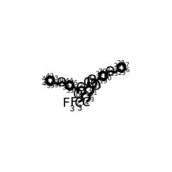 O=C(OC(C=CCC(F)(F)F)C(=O)C(C=CCC(F)(F)F)OC(=O)c1ccc(OCc2ccccc2)cc1)c1ccc(OCc2ccccc2)cc1